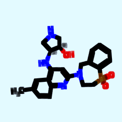 Cc1ccc2nc(N3CCS(=O)(=O)c4ccccc4C3)cc(N[C@H]3CNC[C@H]3O)c2c1